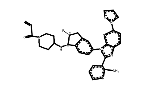 C=CC(=O)N1CCC(N[C@@H]2c3ccc(-n4c(-c5cccnc5N)nc5ccc(-n6cccn6)nc54)cc3C[C@H]2F)CC1